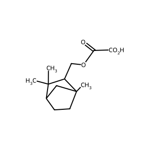 CC12CCC(C1)C(C)(C)C2COC(=O)C(=O)O